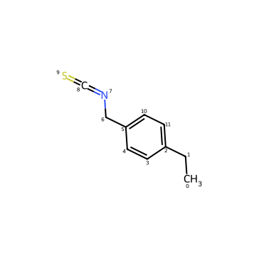 CCc1ccc(CN=C=S)cc1